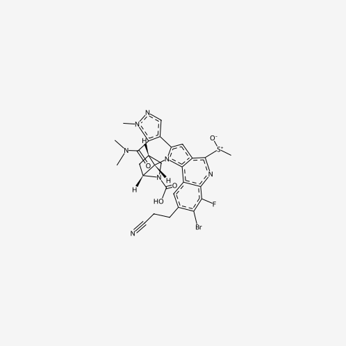 CN(C)C(=O)c1c(-c2cc3c([S+](C)[O-])nc4c(F)c(Br)c(CCC#N)cc4c3n2[C@H]2[C@@H]3C[C@H]2N(C(=O)O)C3)cnn1C